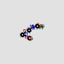 O=C(Nc1ccc(-c2ncn(-c3ccc(OC(F)(F)F)cc3)n2)cc1)c1ccccc1COC1CCOCC1